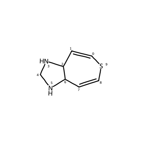 C1=CC2NCNC2C=CS1